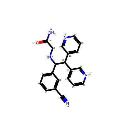 N#Cc1cccc(C(NCC(N)=O)C(c2cccnc2)c2cccnc2)c1